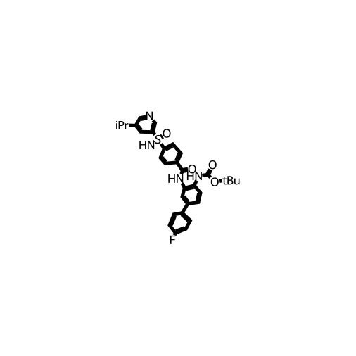 CC(C)c1cncc(S(=N)(=O)c2ccc(C(=O)Nc3cc(-c4ccc(F)cc4)ccc3NC(=O)OC(C)(C)C)cc2)c1